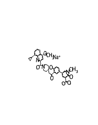 COc1cc(C(=O)N2CCC3(CC2)CC(=O)c2cc(-c4cc(C(=O)[O-])c(=O)n(C)c4)ccc2O3)nc2c(C3CC3)cccc12.[Na+]